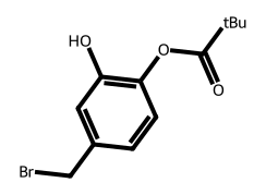 CC(C)(C)C(=O)Oc1ccc(CBr)cc1O